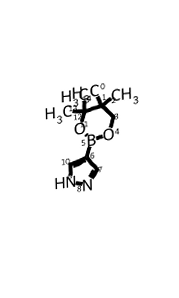 CC1(C)COB(c2cn[nH]c2)OC1(C)C